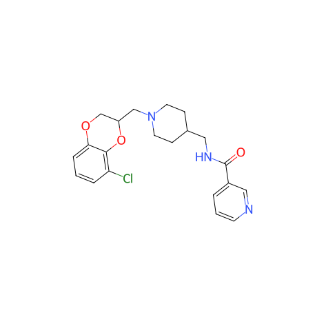 O=C(NCC1CCN(CC2COc3cccc(Cl)c3O2)CC1)c1cccnc1